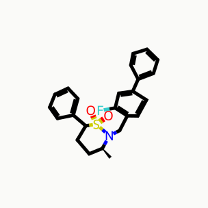 C[C@H]1CCC(c2ccccc2)S(=O)(=O)N1Cc1ccc(-c2ccccc2)cc1F